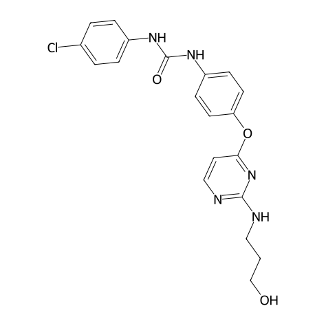 O=C(Nc1ccc(Cl)cc1)Nc1ccc(Oc2ccnc(NCCCO)n2)cc1